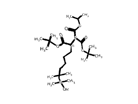 CC(C)OC(=O)N(C(=O)OC(C)(C)C)[C@@H](CCCCC(C)(C)[Si](C)(C)O)C(=O)OC(C)(C)C